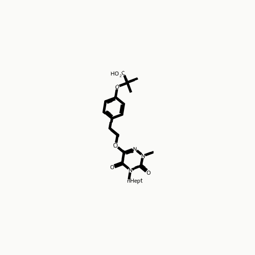 CCCCCCCn1c(=O)c(OCCc2ccc(OC(C)(C)C(=O)O)cc2)nn(C)c1=O